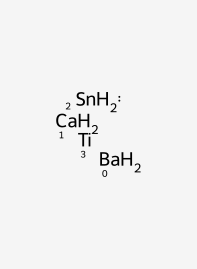 [BaH2].[CaH2].[SnH2].[Ti]